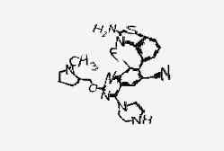 CN1CCCC1COc1nc(N2CCNCC2)c2cc(C#N)c(-c3cccc4sc(N)nc34)c(F)c2n1